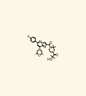 C[C@@H]1CN(c2cc(-c3ccc(F)cc3)nn3cc(C(=O)N4CCN(C(=O)C(C)(C)O)CC4(C)C)nc23)C[C@H](C)O1